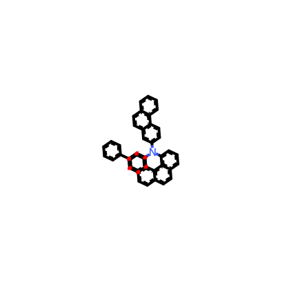 c1ccc(-c2cccc(N(c3ccc4c(ccc5ccccc54)c3)c3cccc4ccc5ccc6ccccc6c5c34)c2)cc1